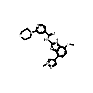 COc1ccc(-c2cnn(C)c2)c2nc(NC(=O)c3ccnc(N4CCOCC4)c3)[nH]c12